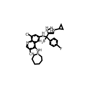 BC(Nc1cc(Cl)c2ncc(C#N)c(NN3CCCCCC3)c2c1)(C1=CN(C2CC2)NN1)c1ccc(F)cc1